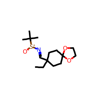 CCC1(C=N[S+]([O-])C(C)(C)C)CCC2(CC1)OCCO2